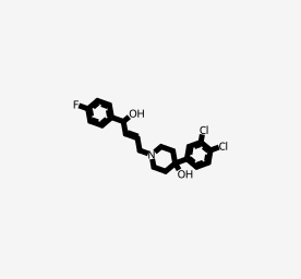 OC(/C=C/CN1CCC(O)(c2ccc(Cl)c(Cl)c2)CC1)c1ccc(F)cc1